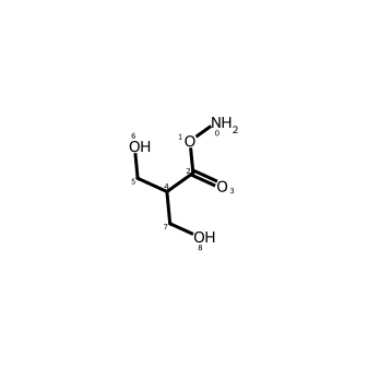 NOC(=O)C(CO)CO